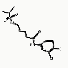 CC(C)S(=O)(=O)NCCCCC(=O)Nc1ccc(Cl)c(Cl)c1